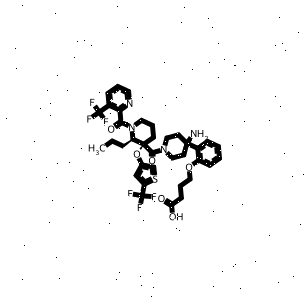 CCC[C@H]1N(C(=O)c2ncccc2C(F)(F)F)CCC[C@@]1(Oc1csc(C(F)(F)F)c1)C(=O)N1CCC(N)(c2ccccc2OCCCC(=O)O)CC1